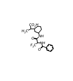 CC(C(=O)O)C1CCCC(NC(=O)C(NC(=O)c2ccccc2)C(F)(F)F)C1